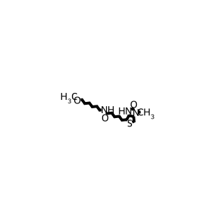 COCCCCCCNC(=O)CCCCC1SCC2C1NC(=O)N2C